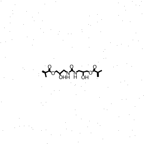 C=C(C)C(=O)OCC(O)CNC(=O)NCC(O)COC(=O)C(=C)C